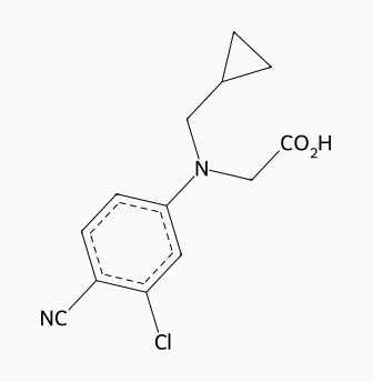 N#Cc1ccc(N(CC(=O)O)CC2CC2)cc1Cl